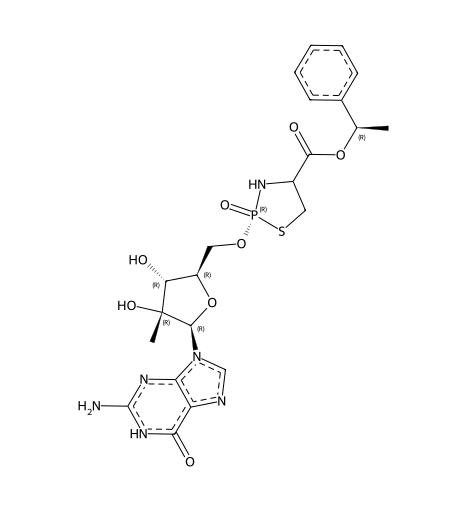 C[C@@H](OC(=O)C1CS[P@](=O)(OC[C@H]2O[C@@H](n3cnc4c(=O)[nH]c(N)nc43)[C@](C)(O)[C@@H]2O)N1)c1ccccc1